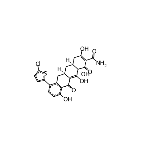 NC(=O)C1=C(O)C[C@@H]2C[C@@H]3Cc4c(-c5ccc(Cl)s5)ccc(O)c4C(=O)C3=C(O)[C@]2(O)C1=O